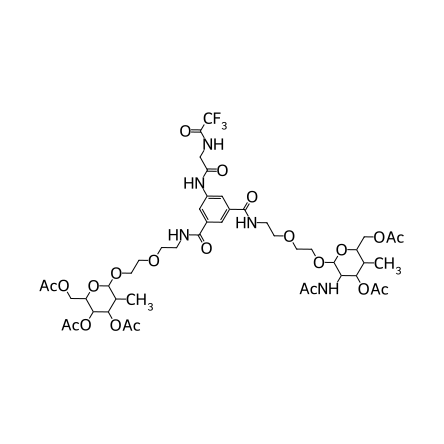 CC(=O)NC1C(OCCOCCNC(=O)c2cc(NC(=O)CNC(=O)C(F)(F)F)cc(C(=O)NCCOCCOC3OC(COC(C)=O)C(OC(C)=O)C(OC(C)=O)C3C)c2)OC(COC(C)=O)C(C)C1OC(C)=O